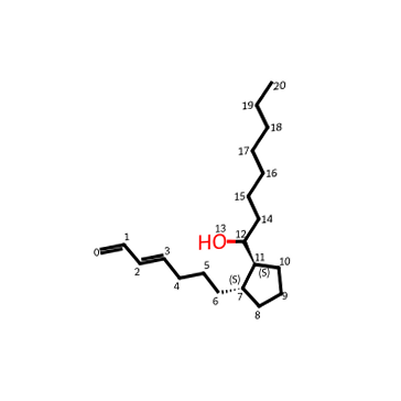 C=CC=CCCC[C@H]1CCC[C@@H]1C(O)CCCCCCC